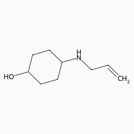 C=CCNC1CCC(O)CC1